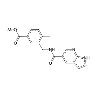 COC(=O)c1ccc(C)c(CNC(=O)c2cnc3[nH]ccc3c2)c1